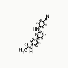 CC(=O)Nc1ccc(-c2ccnc(Nc3ccc(C#N)cc3)n2)cc1